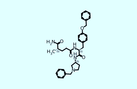 C[C@@H](C[CH]C(=O)N[C@@H](Cc1ccc(OCc2ccccc2)cc1)C(=O)N[C@H]1CCN(Cc2ccccc2)C1)C(N)=O